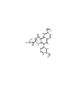 Bc1ccc2nc(-c3cccc(OC)c3)c(CC(=O)NC(C)C)c(O)c2c1